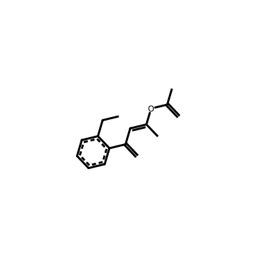 C=C(C)O/C(C)=C/C(=C)c1ccccc1CC